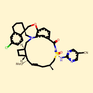 CO[C@H]1/C=C/C[C@H](C)C[S@@](=O)(Nc2ncc(C#N)cn2)=NC(=O)c2ccc3c(c2)N(C[C@@H]2CC[C@H]21)C[C@@]1(CCCc2cc(Cl)ccc21)CO3